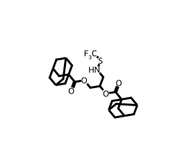 O=C(OCC(CNSC(F)(F)F)OC(=O)C12CC3CC(CC(C3)C1)C2)C12CC3CC(CC(C3)C1)C2